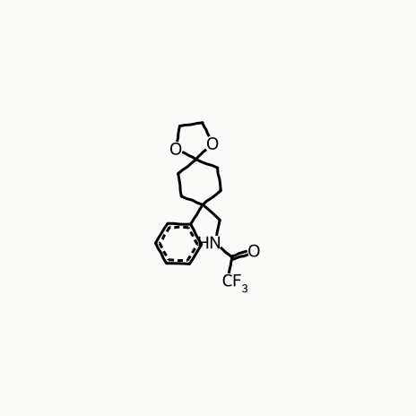 O=C(NCC1(c2ccccc2)CCC2(CC1)OCCO2)C(F)(F)F